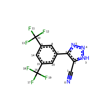 N#Cc1[nH]nnc1-c1cc(C(F)(F)F)cc(C(F)(F)F)c1